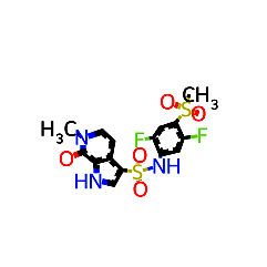 Cn1ccc2c(S(=O)(=O)Nc3cc(F)c(S(C)(=O)=O)cc3F)c[nH]c2c1=O